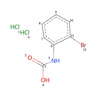 Cl.Cl.O=C(O)Nc1ccccc1Br